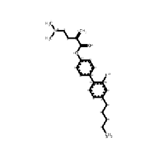 C=C(CCN(C)C)C(=O)Oc1ccc(-c2ccc(CCCCC)cc2F)cc1